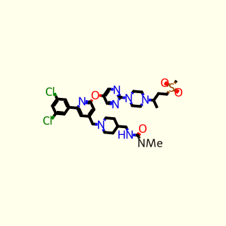 CNC(=O)NCC1CCN(Cc2cc(Oc3cnc(N4CCN(C(C)CCS(C)(=O)=O)CC4)nc3)nc(-c3cc(Cl)cc(Cl)c3)c2)CC1